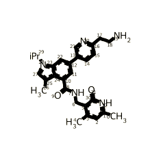 Cc1cc(C)c(CNC(=O)c2cc(-c3ccc(CCN)nc3)cc3c2c(C)cn3C(C)C)c(=O)[nH]1